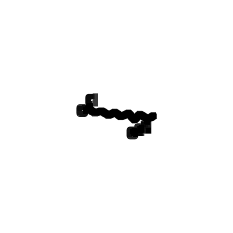 CC(CCCCCCCCC(=O)Cl)N=C=O